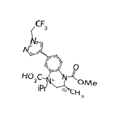 COC(=O)N1c2ccc(-c3cnn(CC(F)(F)F)c3)cc2[N+](C(=O)O)(C(C)C)C[C@@H]1C